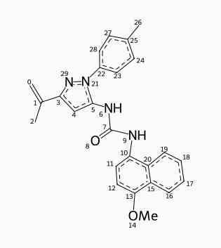 C=C(C)c1cc(NC(=O)Nc2ccc(OC)c3ccccc23)n(-c2ccc(C)cc2)n1